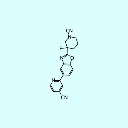 N#Cc1ccnc(-c2ccc3oc(C4(F)CCCN(C#N)C4)nc3c2)c1